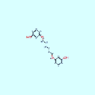 Oc1cccc(OCCCCCCOc2cccc(O)c2)c1